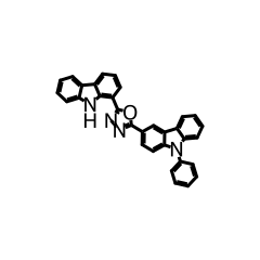 c1ccc(-n2c3ccccc3c3cc(-c4nnc(-c5cccc6c5[nH]c5ccccc56)o4)ccc32)cc1